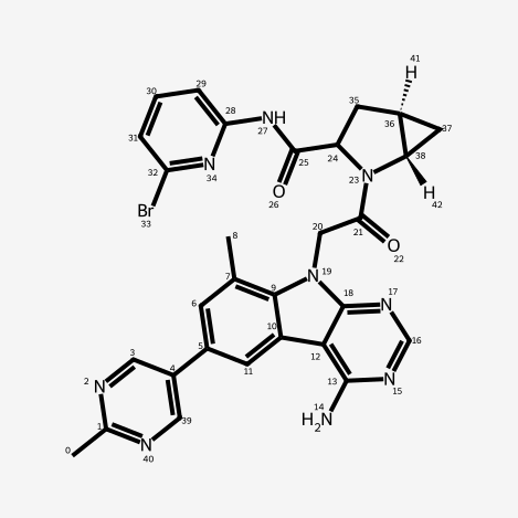 Cc1ncc(-c2cc(C)c3c(c2)c2c(N)ncnc2n3CC(=O)N2C(C(=O)Nc3cccc(Br)n3)C[C@H]3C[C@@H]32)cn1